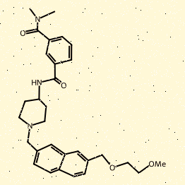 COCCOCc1ccc2ccc(CN3CCC(NC(=O)c4cccc(C(=O)N(C)C)c4)CC3)cc2c1